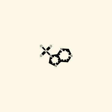 [O]S(=O)(=O)n1cnc2cncnc21